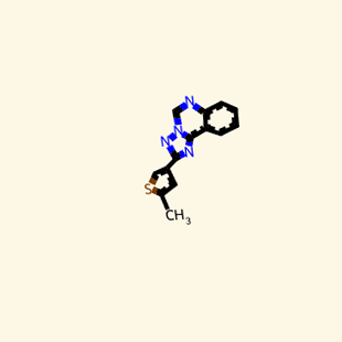 Cc1cc(-c2nc3c4ccccc4ncn3n2)cs1